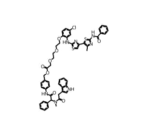 Cc1nc(NC(=O)c2ccccc2)sc1-c1csc(Nc2cc(Cl)ccc2OCCOCCOCC(=O)OCc2ccc(NC(=O)C(c3ccccc3)N(C)C(=O)Cc3c[nH]c4ccccc34)cc2)n1